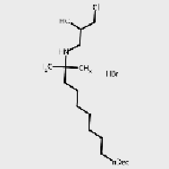 Br.CCCCCCCCCCCCCCCCCC(C)(C)NCC(O)CCl